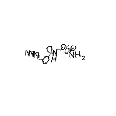 CC(OCCNC(=O)c1cccc(CN=[N+]=[N-])c1)OC(N)=O